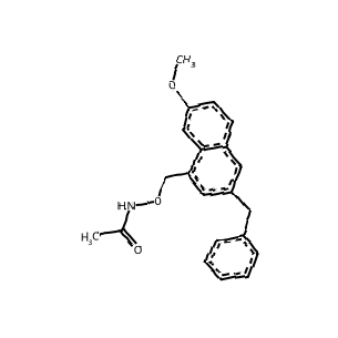 COc1ccc2cc(Cc3ccccc3)cc(CONC(C)=O)c2c1